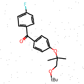 CC(C)(C)OCC(C)(C)Oc1ccc(C(=O)c2ccc(F)cc2)cc1